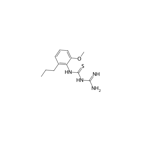 CCCc1cccc(OC)c1NC(=S)NC(=N)N